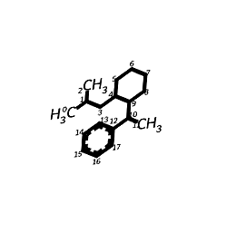 CC(C)CC1CCCCC1C(C)c1ccccc1